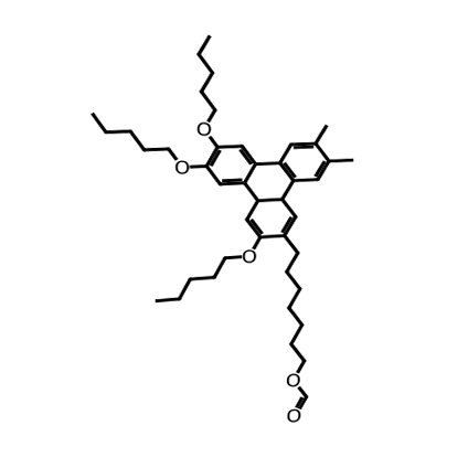 CCCCCOC1=CC2c3cc(OCCCCC)c(OCCCCC)cc3-c3cc(C)c(C)cc3C2C=C1CCCCCCCOC=O